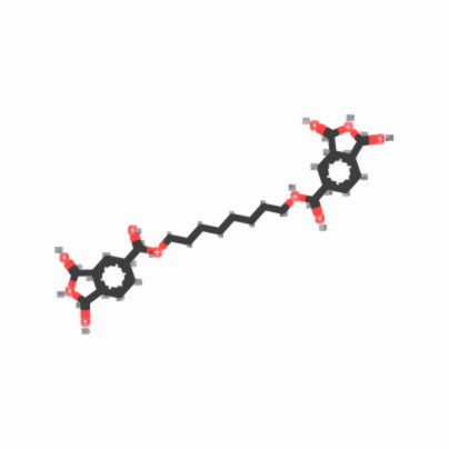 O=C(OCCCCCCCCOC(=O)c1ccc2c(c1)C(=O)OC2=O)c1ccc2c(c1)C(=O)OC2=O